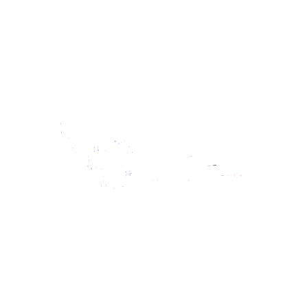 Nc1nc(SC2CCCC2)nc2c1C(=O)N(c1ccc([C@H]3CC[C@H](CC(=O)O)CC3)cc1)CCO2